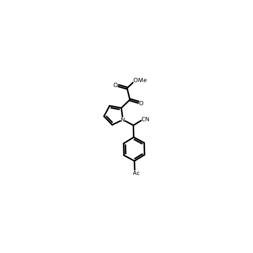 COC(=O)C(=O)c1cccn1C(C#N)c1ccc(C(C)=O)cc1